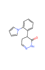 O=C1NN=CCC1c1ccccc1-n1cccc1